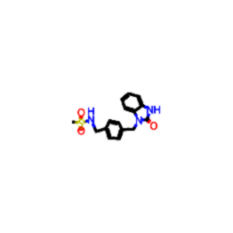 CS(=O)(=O)NCc1ccc(Cn2c(=O)[nH]c3ccccc32)cc1